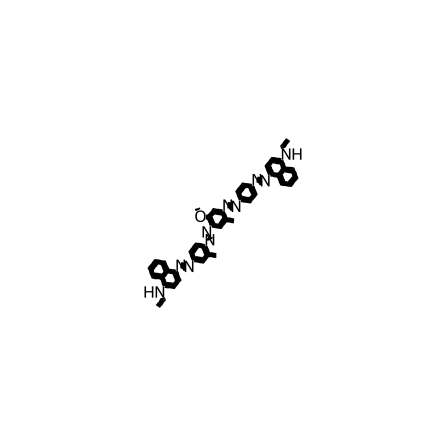 CCNc1ccc(N=Nc2ccc(N=Nc3cc(OC)c(N=Nc4ccc(N=Nc5ccc(NCC)c6ccccc56)cc4C)cc3C)cc2)c2ccccc12